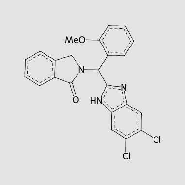 COc1ccccc1C(c1nc2cc(Cl)c(Cl)cc2[nH]1)N1Cc2ccccc2C1=O